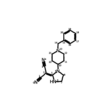 N#CC(C#N)=C1NCCN1C1CCN(Cc2ccccc2)CC1